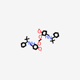 COc1ccc(CN[C@@H](c2ccccc2)C(C)(C)C)cc1OCCOc1cc(CN[C@@H](c2ccccc2)C(C)(C)C)ccc1OC